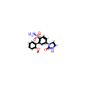 COc1ccccc1-c1cc(N2CCNC2=O)ccc1S(N)(=O)=O